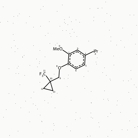 COc1cc(C(C)C)ccc1OCC1(C(F)(F)F)CC1